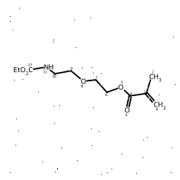 C=C(C)C(=O)OCCOCCNC(=O)OCC